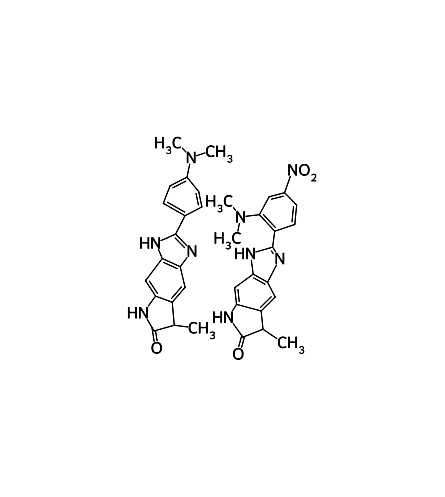 CC1C(=O)Nc2cc3[nH]c(-c4ccc(N(C)C)cc4)nc3cc21.CC1C(=O)Nc2cc3[nH]c(-c4ccc([N+](=O)[O-])cc4N(C)C)nc3cc21